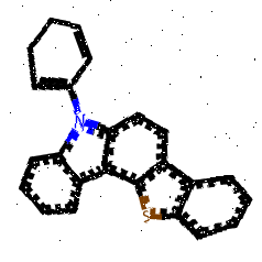 C1=CC(n2c3ccccc3c3c4sc5ccccc5c4ccc32)=CCC1